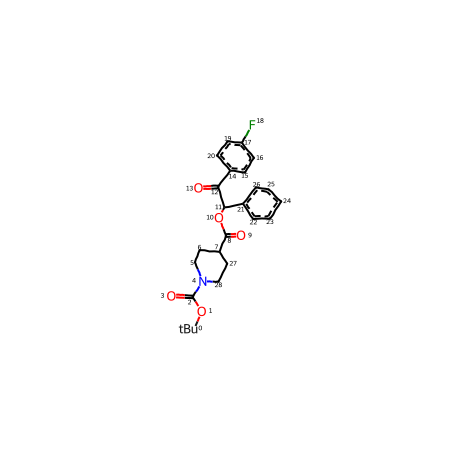 CC(C)(C)OC(=O)N1CCC(C(=O)OC(C(=O)c2ccc(F)cc2)c2ccccc2)CC1